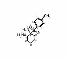 Cc1ccc(S(=O)(=O)C2(N)CCCCC2N)cc1